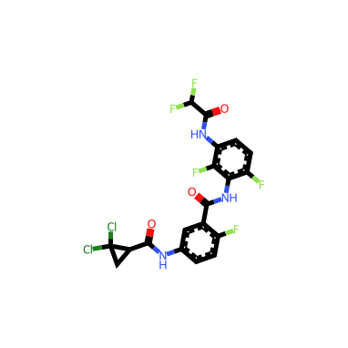 O=C(Nc1c(F)ccc(NC(=O)C(F)F)c1F)c1cc(NC(=O)C2CC2(Cl)Cl)ccc1F